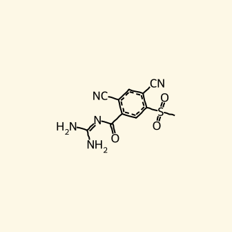 CS(=O)(=O)c1cc(C(=O)N=C(N)N)c(C#N)cc1C#N